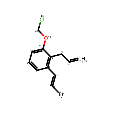 C=CCc1c(C=CCC)cccc1OCCl